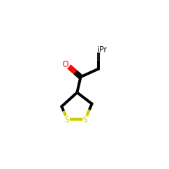 CC(C)CC(=O)C1CSSC1